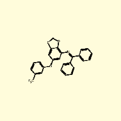 FC(F)(F)c1cccc(Oc2cc(N=C(c3ccccc3)c3ccccc3)c3c(c2)OCO3)c1